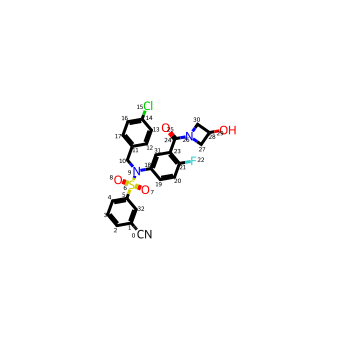 N#Cc1cccc(S(=O)(=O)N(Cc2ccc(Cl)cc2)c2ccc(F)c(C(=O)N3CC(O)C3)c2)c1